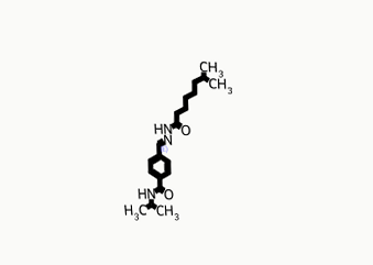 CC(C)CCCCCC(=O)N/N=C/c1ccc(C(=O)NC(C)C)cc1